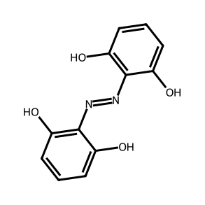 Oc1cccc(O)c1N=Nc1c(O)cccc1O